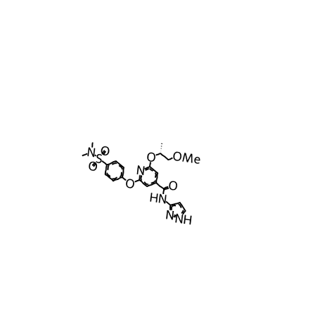 COC[C@@H](C)Oc1cc(C(=O)Nc2cc[nH]n2)cc(Oc2ccc(S(=O)(=O)N(C)C)cc2)n1